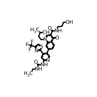 CCNC(=O)Nc1cc(-c2nc(C(F)(F)F)cs2)c(-c2ccc3c(=O)c(C(=O)NCCCO)cn(CCC(C)C)c3c2)cn1